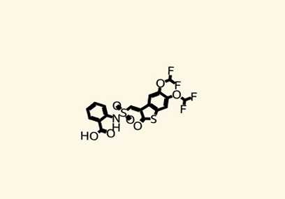 O=C1Sc2cc(OC(F)F)c(OC(F)F)cc2/C1=C/S(=O)(=O)Nc1ccccc1C(=O)O